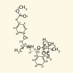 COC(=O)Cc1ccc(OC[C@H](C)NC[C@H](O[Si](C)(C)C(C)(C)C)c2ccccc2)cc1